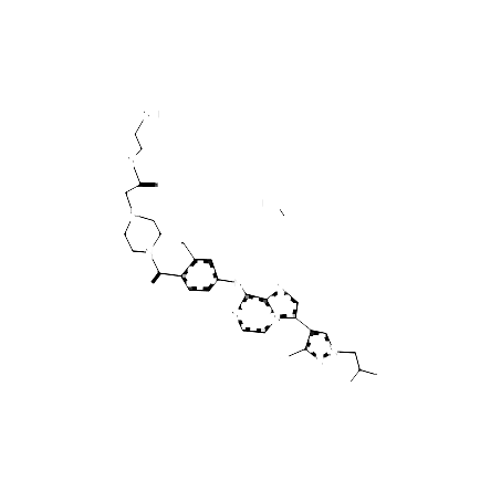 NCCNC(=O)CN1CCN(C(=O)c2ccc(Nc3nccn4c(-c5cn(CC(F)F)nc5C(F)(F)F)cnc34)cc2Cl)CC1.O=CO